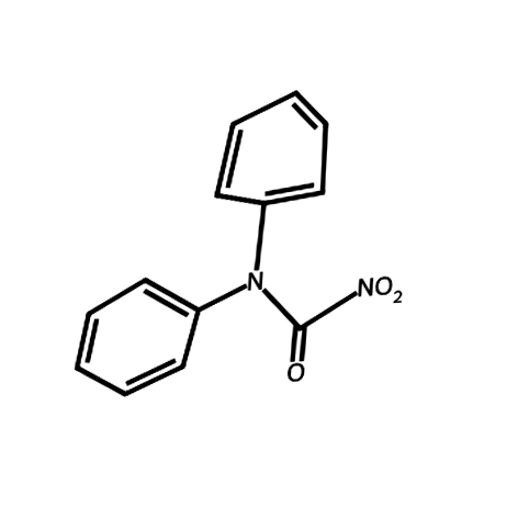 O=C(N(c1ccccc1)c1ccccc1)[N+](=O)[O-]